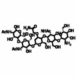 CC(=O)N[C@H]1[C@H](OC2[C@H](OCC(N)=O)C[C@H](OC3[C@@H](CO)O[C@@H](OC4[C@@H](CO)OC(O)[C@H](NC(C)=O)[C@H]4O)[C@H](NC(C)=O)[C@H]3O)O[C@@H]2CO)O[C@H](CO)C(O[C@@H]2O[C@H](CO)[C@@H](O)[C@H](O)[C@H]2N)[C@@H]1O